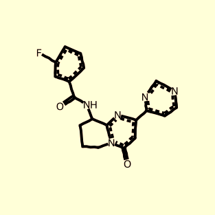 O=C(NC1CCCn2c1nc(-c1ccncn1)cc2=O)c1cccc(F)c1